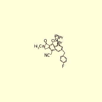 CC(C)[Si](Oc1c2c(c(CC#N)c3cc(Cc4ccc(F)cc4)cnc13)CN(C)C2=O)(C(C)C)C(C)C